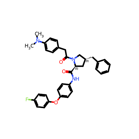 CN(C)c1ccc(CC(=O)N2C[C@H](Cc3ccccc3)C[C@H]2C(=O)Nc2ccc(Oc3ccc(F)cc3)cc2)cc1